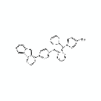 CC(C)(C)c1ccc(-c2c3ccccc3c(-c3ccc(-c4cccc5c4sc4ccccc45)cc3)c3ccccc23)cc1